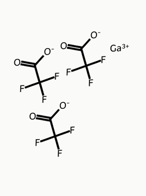 O=C([O-])C(F)(F)F.O=C([O-])C(F)(F)F.O=C([O-])C(F)(F)F.[Ga+3]